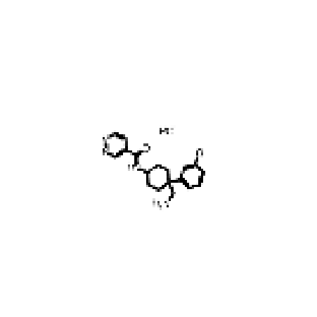 Cl.NCC1(c2cccc(Cl)c2)CCC(NC(=O)c2ccnnc2)CC1